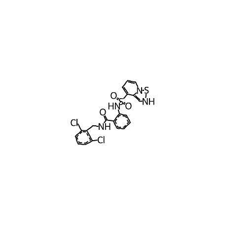 O=C(NCc1c(Cl)cccc1Cl)c1ccccc1NS(=O)(=O)C1=CC=CN2SNC=C12